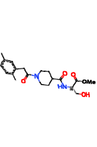 COC(=O)[C@H](CO)NC(=O)C1CCN(C(=O)Cc2cc(C)ccc2C)CC1